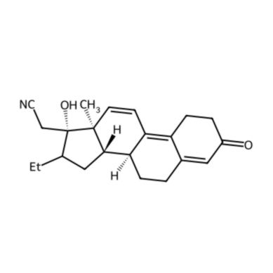 CCC1C[C@H]2[C@@H]3CCC4=CC(=O)CCC4=C3C=C[C@]2(C)[C@]1(O)CC#N